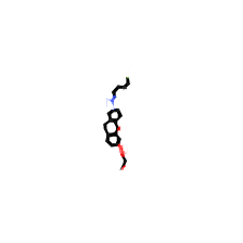 CC(/C=C\CNc1ccc2c(c1)CCc1ccc(OCCCO)cc1C2=O)=C/CF